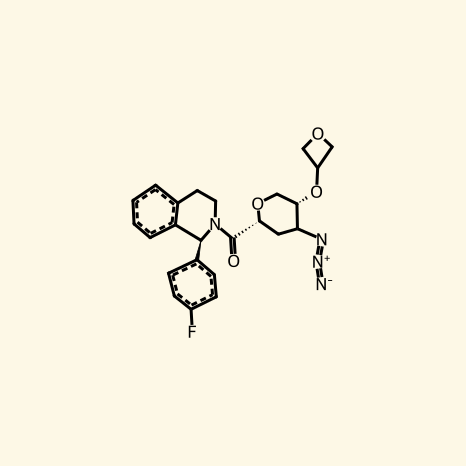 [N-]=[N+]=NC1C[C@H](C(=O)N2CCc3ccccc3[C@@H]2c2ccc(F)cc2)OC[C@@H]1OC1COC1